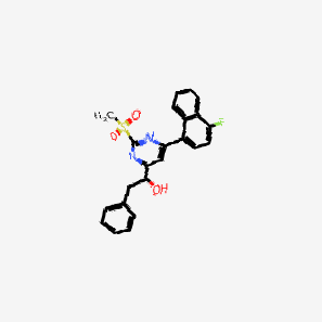 CS(=O)(=O)c1nc(-c2ccc(F)c3ccccc23)cc(C(O)Cc2ccccc2)n1